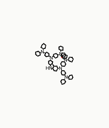 c1ccc(N(c2ccccc2)c2ccc(N(c3ccc(N(c4ccccc4)c4ccccc4)cc3)c3ccc4[nH]c5ccc(N(c6ccc(N(c7ccccc7)c7ccccc7)cc6)c6ccc(N(c7ccccc7)c7ccccc7)cc6)cc5c4c3)cc2)cc1